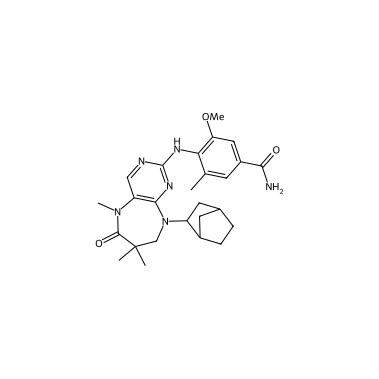 COc1cc(C(N)=O)cc(C)c1Nc1ncc2c(n1)N(C1CC3CCC1C3)CC(C)(C)C(=O)N2C